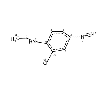 CCNc1ccc([N+]#N)cc1Cl